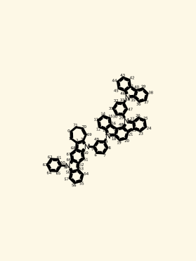 C1=Cc2c(n(-c3cccc(-n4c5ccccc5c5c4ccc4c6ccccc6n(-c6cccc(-n7c8ccccc8c8ccccc87)c6)c45)c3)c3cc4c5ccccc5n(-c5ccccc5)c4cc23)C=CC1